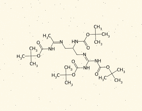 C/C(=N/CC(CN=C(NC(=O)OC(C)(C)C)NC(=O)OC(C)(C)C)NC(=O)OC(C)(C)C)NC(=O)OC(C)(C)C